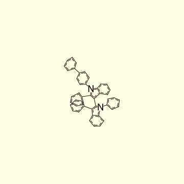 c1ccc(-c2ccc(-n3c(-c4ccccc4)c(-c4c(-c5ccccc5)c5ccccc5n4-c4ccccc4)c4ccccc43)cc2)cc1